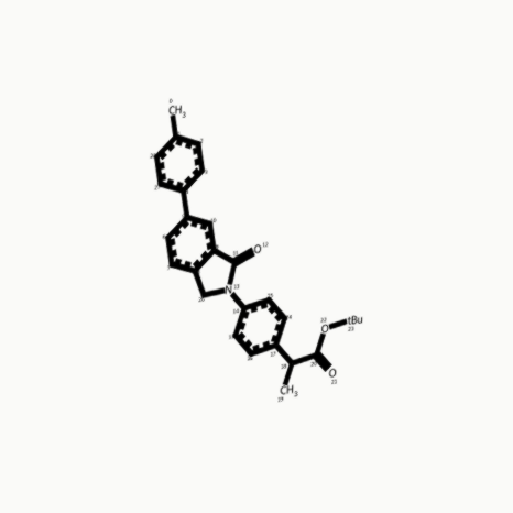 Cc1ccc(-c2ccc3c(c2)C(=O)N(c2ccc(C(C)C(=O)OC(C)(C)C)cc2)C3)cc1